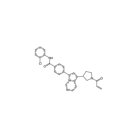 C=CC(=O)N1CCC(c2cc(-c3ccc(C(=O)Nc4ccccc4Cl)cc3)n3cnccc23)C1